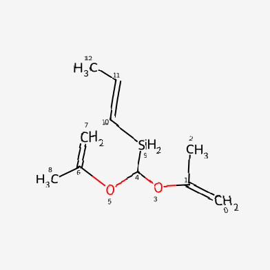 C=C(C)OC(OC(=C)C)[SiH2]C=CC